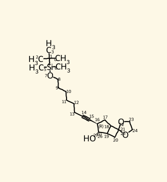 CC(C)(C)[Si](C)(C)OCCCCCCC#C[C@H]1CC2C(CC23OCCO3)[C@@H]1O